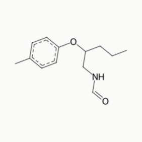 CCCC(CNC=O)Oc1ccc(C)cc1